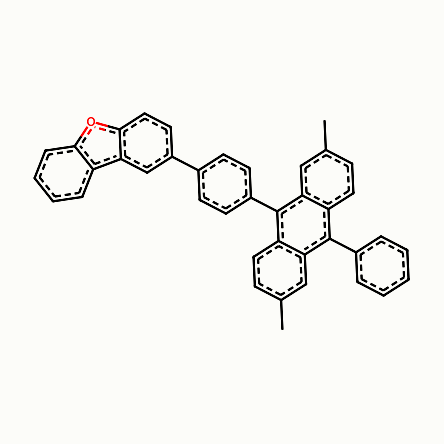 Cc1ccc2c(-c3ccc(-c4ccc5oc6ccccc6c5c4)cc3)c3cc(C)ccc3c(-c3ccccc3)c2c1